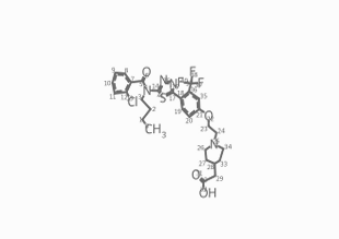 CCCCN(C(=O)c1ccccc1Cl)c1nnc(-c2ccc(OCCN3CCC(CC(=O)O)CC3)cc2C(F)(F)F)s1